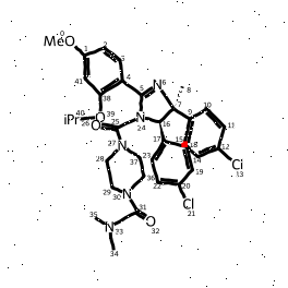 COc1ccc(C2=N[C@@](C)(c3ccc(Cl)cc3)[C@@H](c3ccc(Cl)cc3)N2C(=O)N2CCN(C(=O)N(C)C)CC2)c(OC(C)C)c1